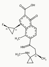 CNC1([C@H](C)CC(=N)c2ccc3c(=O)c(C(=O)O)cn([C@H]4C[C@H]4F)c3c2C)CC1